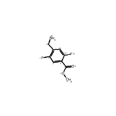 COC(=O)c1cc(F)c(CN)cc1F